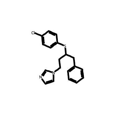 Clc1ccc(SC(CCn2ccnc2)Cc2ccccc2)cc1